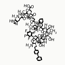 C[C@@H](O)[C@H](NC(=O)CNC(=O)[C@H](CCC(=O)O)NC(=O)C(C)(C)NC(=O)[C@@H](N)Cc1c[nH]cn1)C(=O)NC(C)(Cc1ccccc1F)C(=O)N[C@H](C(=O)N[C@@H](CO)C(=O)N[C@@H](CC(=O)O)C(=O)NC(C)(CSc1c(F)c(F)c(F)c(F)c1F)C(=O)N[C@@H](CCc1ccc(-c2ccccc2)cc1)C(N)=O)[C@@H](C)O